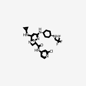 O=C(Nc1ccnc(Cl)c1)C1CN=C2C(NC3CC3)=CC(N[C@H]3CC[C@H](NCC(F)(F)F)CC3)=NN21